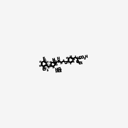 CCO[C@@H](Cc1ccc(OCCN[C@H]2C3CN(Cc4cc(F)ccc4C(F)(F)F)C[C@@H]32)cc1)C(=O)O.Cl.Cl